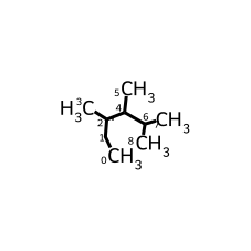 CC[C](C)C(C)C(C)C